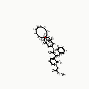 COC(=O)Cn1cccc(-c2nc3ccccc3n([C@H]3C[C@H]4CC[C@H](C)[C@@H](C3)N4C3CCCCCCCCC3)c2=O)c1=O